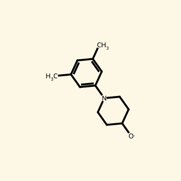 Cc1cc(C)cc(N2CCC([O])CC2)c1